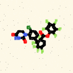 O=C1CCN(c2cc(C3(F)C(F)(C(=O)Oc4c(F)c(F)c(F)c(F)c4F)C=CC(F)C3(F)F)ccc2Cl)C(=O)N1